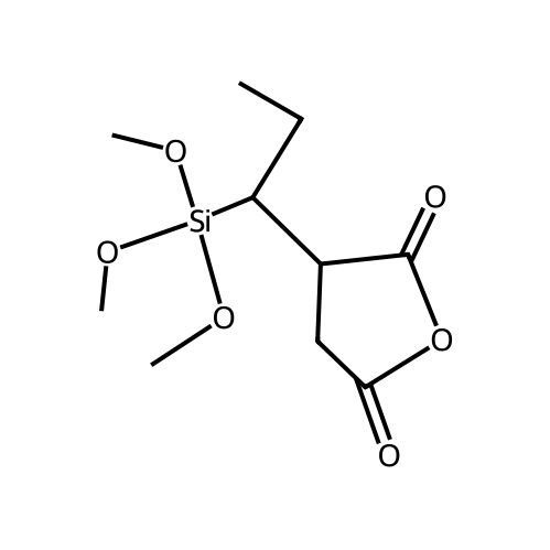 CCC(C1CC(=O)OC1=O)[Si](OC)(OC)OC